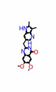 COc1cc2nc(Cc3cnc4c(C)c(C)[nH]c4c3)[nH]c(=O)c2cc1OC